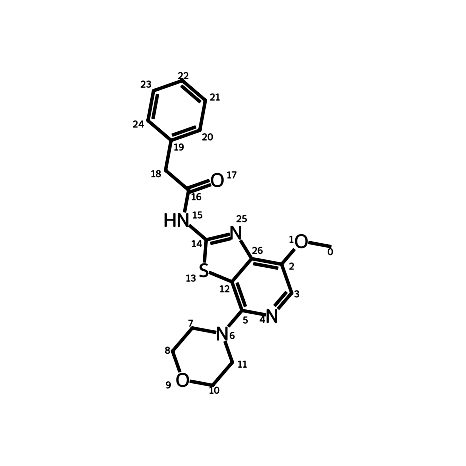 COc1cnc(N2CCOCC2)c2sc(NC(=O)Cc3ccccc3)nc12